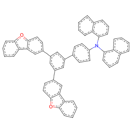 c1ccc2c(N(c3ccc(-c4cc(-c5ccc6oc7ccccc7c6c5)cc(-c5ccc6oc7ccccc7c6c5)c4)cc3)c3cccc4ccccc34)cccc2c1